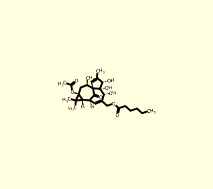 CCCCCC(=O)OCC1=C[C@@H]2C(=O)[C@]3(C=C(C)[C@H](O)[C@@]3(O)[C@@H]1O)[C@H](C)C[C@]1(OC(C)=O)[C@H]2C1(C)C